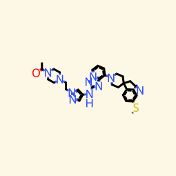 CSc1ccc(C2(CC#N)CCN(c3cccn4nc(Nc5cnn(CCN6CCN(C(C)=O)CC6)c5)nc34)CC2)cc1